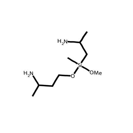 CO[Si](C)(CC(C)N)OCCC(C)N